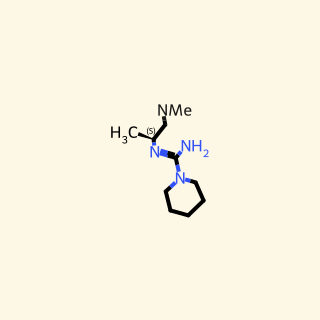 CNC[C@H](C)N=C(N)N1CCCCC1